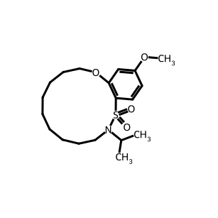 COc1ccc2c(c1)OCCCCCCCCCN(C(C)C)S2(=O)=O